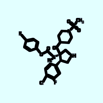 CCN(C(=O)Oc1ccc(F)cc1)[C@]1(C(=O)C2CCN(S(C)(=O)=O)CC2)CNC[C@H]1c1ccc(Cl)c(F)c1